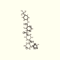 Cc1c(NCc2ccc(C(C)(C)C)cc2)ncnc1C(=O)N1CCC(NC2CCOCC2n2ncnn2)CC1